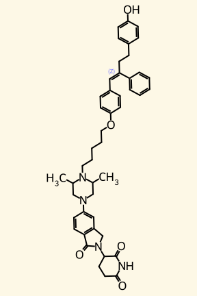 CC1CN(c2ccc3c(c2)CN(C2CCC(=O)NC2=O)C3=O)CC(C)N1CCCCCOc1ccc(/C=C(/CCc2ccc(O)cc2)c2ccccc2)cc1